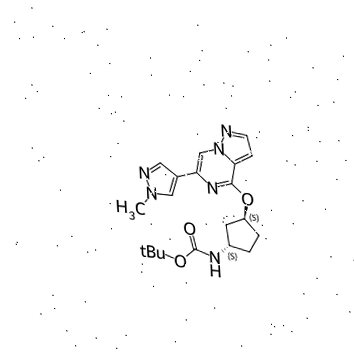 Cn1cc(-c2cn3nccc3c(O[C@H]3CC[C@H](NC(=O)OC(C)(C)C)C3)n2)cn1